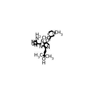 CCn1c(-c2nonc2N)nc2c(C#CC(C)(C)O)ncc(OCC3CN(C)CCS3)c21